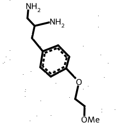 COCCOc1ccc(CC(N)CN)cc1